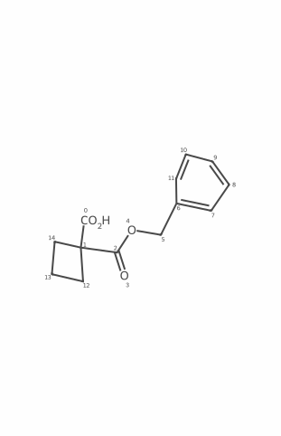 O=C(O)C1(C(=O)OCc2ccccc2)CCC1